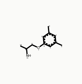 Cc1cc(C)cc(OCC(C)[NH])c1